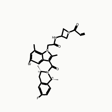 C=CC(=O)N1CC(NC(=O)Cn2c(C)c(C(=O)N3[C@H](C)c4ccc(F)cc4C[C@@H]3C)c3cc(Br)cc(C)c32)C1